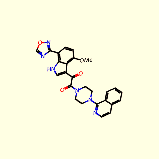 COc1ccc(-c2ncon2)c2[nH]cc(C(=O)C(=O)N3CCN(c4nccc5ccccc45)CC3)c12